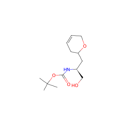 CC(C)(C)OC(=O)N[C@H](CO)CC1CC=CCO1